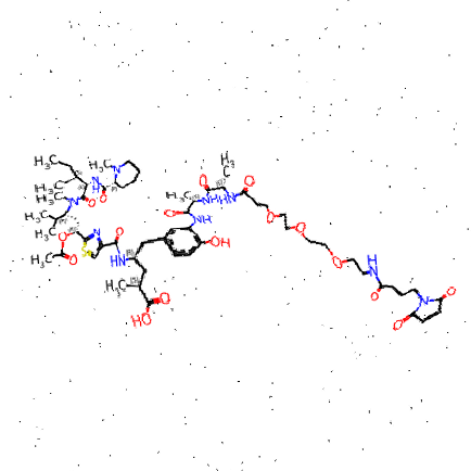 CC[C@H](C)[C@H](NC(=O)[C@H]1CCCCN1C)C(=O)N(C)[C@H](C[C@@H](OC(C)=O)c1nc(C(=O)N[C@@H](Cc2ccc(O)c(NC(=O)[C@H](C)NC(=O)[C@H](C)NC(=O)CCOCCOCCOCCNC(=O)CCCN3C(=O)C=CC3=O)c2)C[C@H](C)C(=O)O)cs1)C(C)C